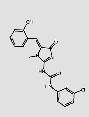 CN1C(NC(=O)Nc2cccc(Cl)c2)=NC(=O)/C1=C/c1ccccc1O